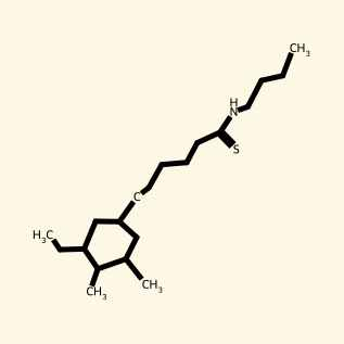 CCCCNC(=S)CCCCCC1CC(C)C(C)C(CC)C1